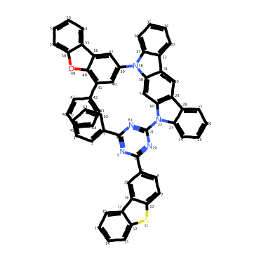 c1ccc(-c2nc(-c3ccc4sc5ccccc5c4c3)nc(-n3c4ccccc4c4cc5c6ccccc6n(-c6cc(-c7ccccc7)c7oc8ccccc8c7c6)c5cc43)n2)cc1